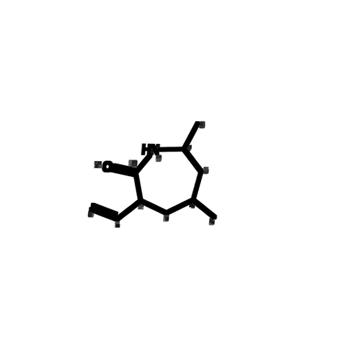 C=CC1CC(C)CC(C)NC1=O